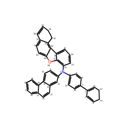 C1=CC(c2ccc(N(c3ccc4c(ccc5ccccc54)c3)c3cccc4c3oc3ccc5c(c34)CCC=C5)cc2)=CCC1